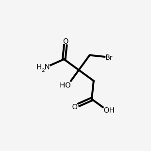 NC(=O)C(O)(CBr)CC(=O)O